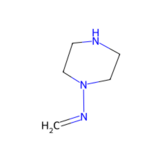 C=NN1CCNCC1